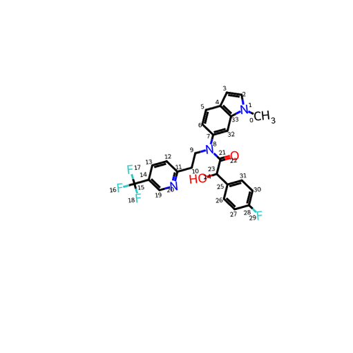 Cn1ccc2ccc(N(CCc3ccc(C(F)(F)F)cn3)C(=O)C(O)c3ccc(F)cc3)cc21